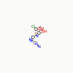 Cc1cc2nc(-c3ccc4c(c3)c(C3CCN(C5CN(C)C5)CC3)nn4C)sc2c(-c2ccc(Cl)cc2)c1C(OC(C)(C)C)C(=O)O